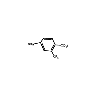 CCCCc1ccc(C(=O)O)c(C(F)(F)F)c1